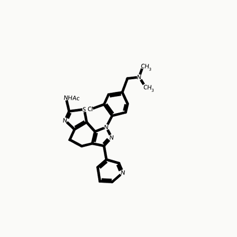 CC(=O)Nc1nc2c(s1)-c1c(c(-c3cccnc3)nn1-c1ccc(CN(C)C)cc1Cl)CC2